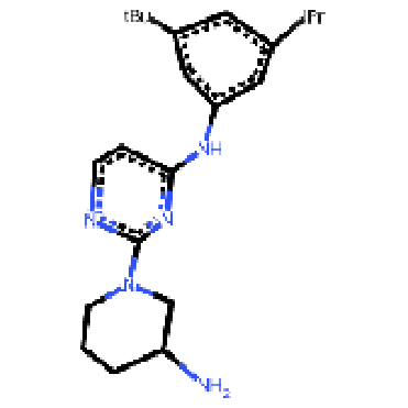 CC(C)c1cc(Nc2ccnc(N3CCCC(N)C3)n2)cc(C(C)(C)C)c1